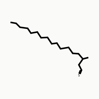 CCCCCCCCCCCCCCC(C)CC=S